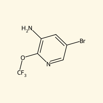 Nc1cc(Br)cnc1OC(F)(F)F